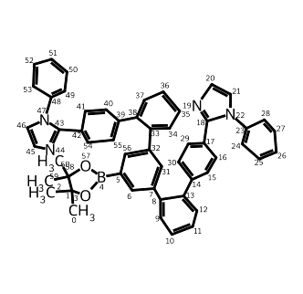 CC1(C)OB(c2cc(-c3ccccc3-c3ccc(-c4nccn4-c4ccccc4)cc3)cc(-c3ccccc3-c3ccc(-c4nccn4-c4ccccc4)cc3)c2)OC1(C)C